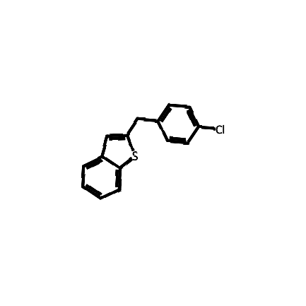 Clc1ccc(Cc2cc3ccccc3s2)cc1